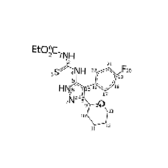 CCOC(=O)NC(=S)Nc1[nH]nc(C2CCCCO2)c1-c1ccc(F)cc1